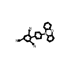 N#Cc1cc(C#N)c(-c2ccc(N3c4ccccc4Oc4ccccc43)cc2)c(C#N)c1